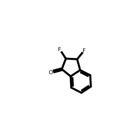 O=C1c2ccccc2C(F)C1F